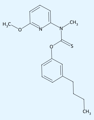 CCCCc1cccc(OC(=S)N(C)c2cccc(OC)n2)c1